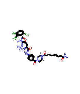 CNC(=O)CCCCCCC(=O)N1[C@H](C)CN(C(=O)c2ccc(NC(=O)/C(N)=C/C3=C(N)N[C@H](c4c(Cl)ccc(F)c4Cl)O3)cc2)C[C@@H]1C